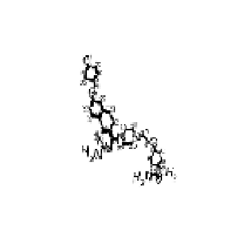 CC1(C(N)=O)CCC(OCCN2CCN(c3nc(N)nc4c3CCc3cc(OCc5ccc(Cl)cc5)ccc3-4)CC2)CC1